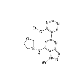 CCOc1ncncc1-c1cc(N[C@@H]2CCOC2)c2c(cnn2C(C)C)n1